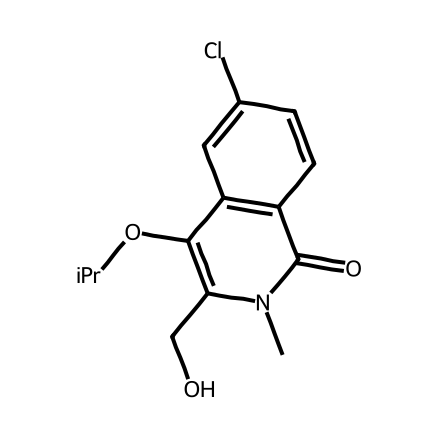 CC(C)Oc1c(CO)n(C)c(=O)c2ccc(Cl)cc12